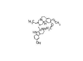 CC[C@H]1CN2CCc3cc(OC)c(OC)cc3[C@@H]2C[C@@H]1C[C@H]1NCCc2c1[nH]c1ccc(O)cc21